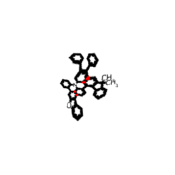 CC1(C)c2ccccc2-c2c(-c3ccccc3N(c3ccc(-c4ccccc4)c(-c4ccccc4)c3)c3ccccc3-c3ccc4c(c3)oc3ccccc34)cccc21